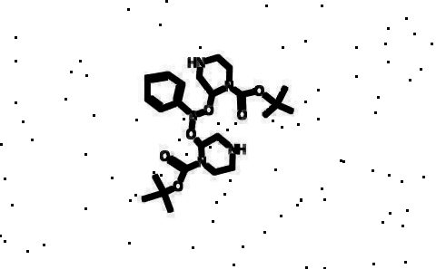 CC(C)(C)OC(=O)N1CCNCC1OB(OC1CNCCN1C(=O)OC(C)(C)C)c1ccccc1